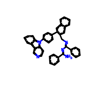 N/C(=N\C(=N/Cc1cc2ccccc2cc1-c1ccc(-n2c3ccccc3c3cnccc32)cc1)c1ccccc1)c1ccccc1